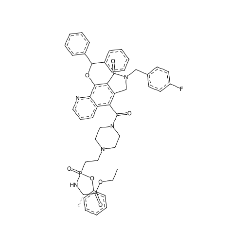 CCOC(=O)[C@H](C)NP(=O)(CCN1CCN(C(=O)c2c3c(c(OC(c4ccccc4)c4ccccc4)c4ncccc24)C(=O)N(Cc2ccc(F)cc2)C3)CC1)Oc1ccccc1